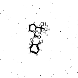 CC(C)(O)C1CCCN1C(=O)Oc1ccccc1Cl